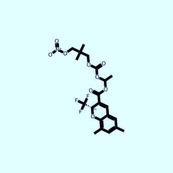 Cc1cc(C)c2c(c1)C=C(C(=O)OC(C)OC(=O)OCC(C)(C)CO[N+](=O)[O-])[C@@H](C(F)(F)F)O2